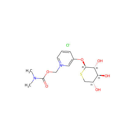 CN(C)C(=O)OC[n+]1cccc(O[C@@H]2SC[C@@H](O)[C@H](O)[C@H]2O)c1.[Cl-]